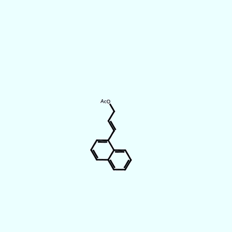 CC(=O)OCC=Cc1cccc2ccccc12